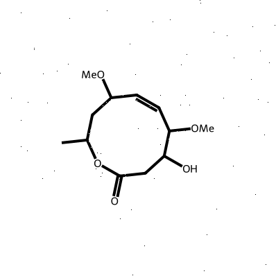 COC1C=CC(OC)C(O)CC(=O)OC(C)C1